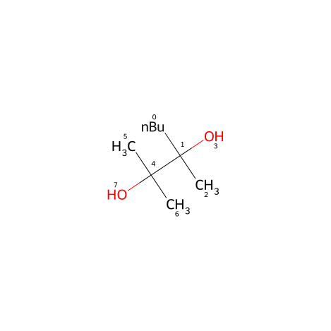 [CH2]CCCC(C)(O)C(C)(C)O